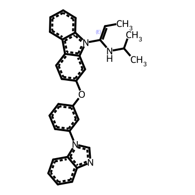 C/C=C(\NC(C)C)n1c2ccccc2c2ccc(Oc3cccc(-n4cnc5ccccc54)c3)cc21